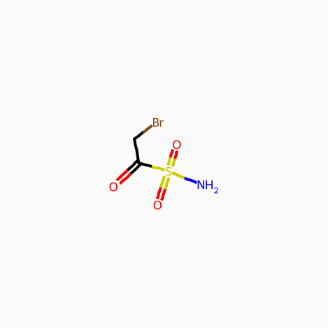 NS(=O)(=O)C(=O)CBr